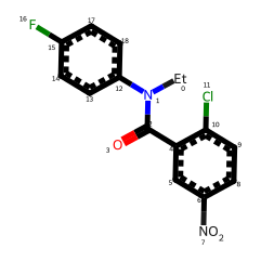 CCN(C(=O)c1cc([N+](=O)[O-])ccc1Cl)c1ccc(F)cc1